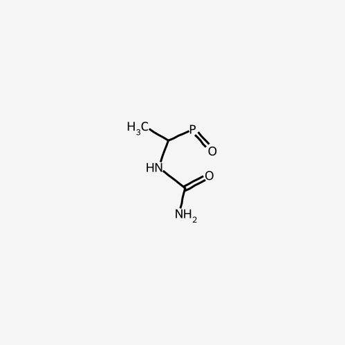 CC(NC(N)=O)P=O